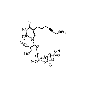 NCC#CCCCc1cn([C@@H]2O[C@H](COP(=O)(O)OP(=O)(O)OP(=O)(O)O)[C@@H](O)[C@H]2O)c(=O)[nH]c1=O